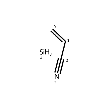 C=CC#N.[SiH4]